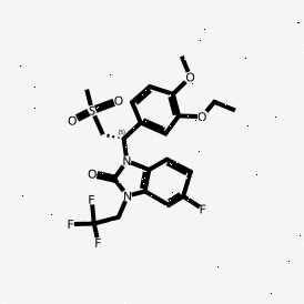 CCOc1cc([C@@H](CS(C)(=O)=O)n2c(=O)n(CC(F)(F)F)c3cc(F)ccc32)ccc1OC